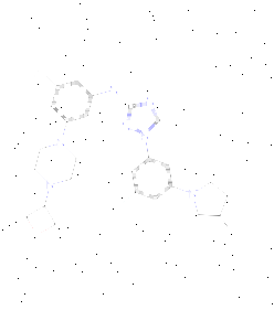 Cc1cc(Nc2ncn(-c3cc(F)cc(N4CC[C@@H](C)C4)c3)n2)cc(N2CCN(C3COC3)CC2)c1